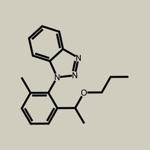 CCCOC(C)c1cccc(C)c1-n1nnc2ccccc21